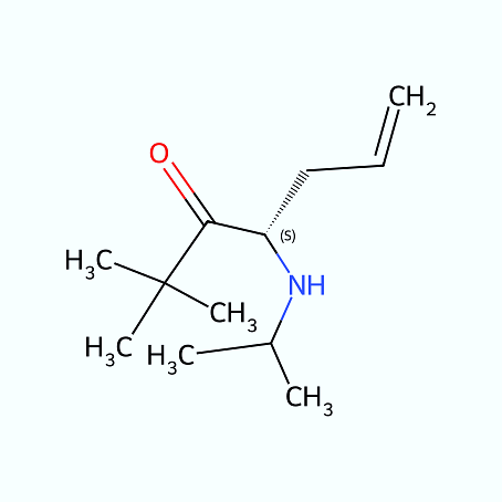 C=CC[C@H](NC(C)C)C(=O)C(C)(C)C